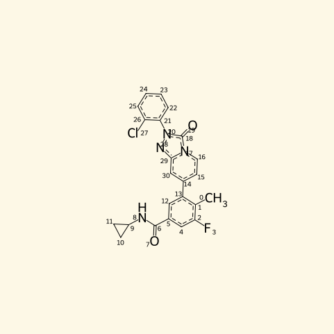 Cc1c(F)cc(C(=O)NC2CC2)cc1-c1ccn2c(=O)n(-c3ccccc3Cl)nc2c1